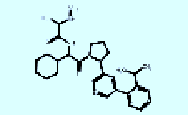 CNC(C)C(=O)NC(C(=O)N1CCCC1c1cncc(-c2ccccc2C(C)C)c1)C1CCCCC1